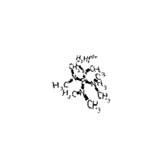 CN(C)[P+](N(C)C)(N(C)C)N(C)C.[Hf+4]